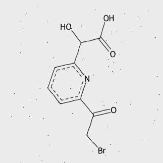 O=C(CBr)c1cccc(C(O)C(=O)O)n1